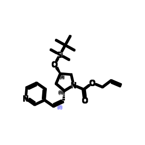 C=CCOC(=O)N1C[C@H](O[Si](C)(C)C(C)(C)C)C[C@H]1/C=C\c1cccnc1